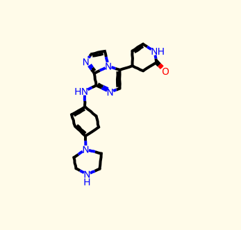 O=C1CC(c2cnc(NC3=CC=C(N4CCNCC4)CC3)c3nccn23)C=CN1